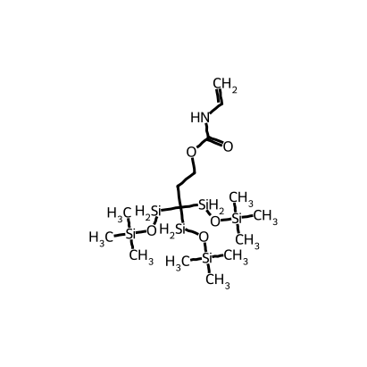 C=CNC(=O)OCCC([SiH2]O[Si](C)(C)C)([SiH2]O[Si](C)(C)C)[SiH2]O[Si](C)(C)C